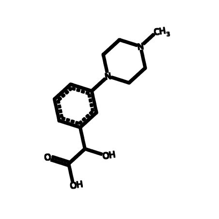 CN1CCN(c2cccc(C(O)C(=O)O)c2)CC1